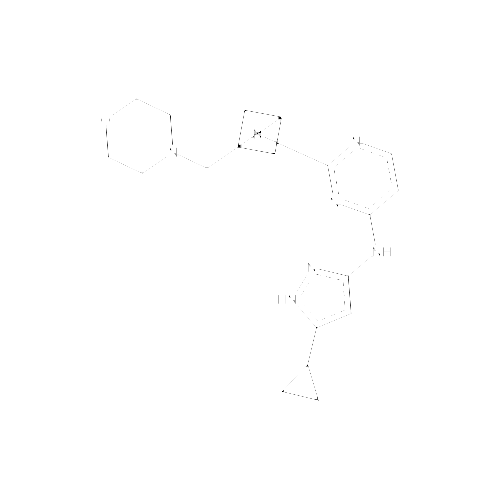 c1cc(Nc2cc(C3CC3)[nH]n2)nc(N2CC3(CN4CCOCC4)CC2C3)n1